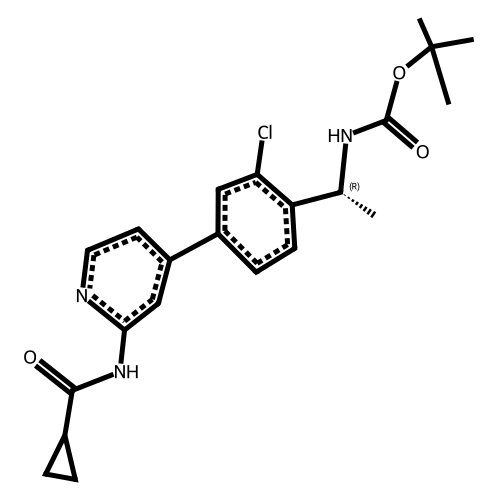 C[C@@H](NC(=O)OC(C)(C)C)c1ccc(-c2ccnc(NC(=O)C3CC3)c2)cc1Cl